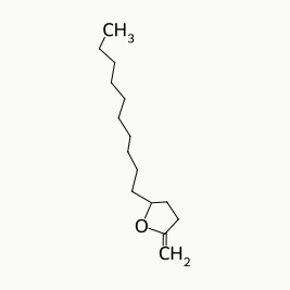 C=C1CCC(CCCCCCCCCC)O1